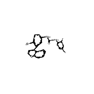 O=C(Nc1ccc(Br)c(-c2ccnc3ccccc23)c1)Nc1ccc(F)cc1F